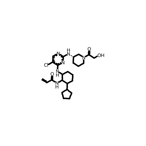 C=CC(=O)NC1C(Nc2nc(N[C@H]3CCCN(C(=O)CO)C3)ncc2Cl)CCCC1C1CCCC1